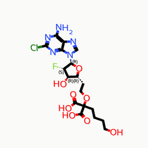 Nc1nc(Cl)nc2c1ncn2[C@@H]1O[C@H](CCOC(CCCCO)(C(=O)O)C(=O)O)[C@@H](O)[C@@H]1F